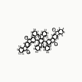 O=c1c2ccccc2c2cc3c(=O)c4ccc(-c5c6c7ccccc7n(-c7ccccc7)c6c(-c6ccc7c(=O)c8cc9c(cc8c7c6)c(=O)c6ccccc69)c6c7ccccc7n(-c7ccccc7)c56)cc4c3cc12